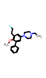 CCN1CCN(c2cc(CCF)c(OC)c(-c3ccccc3)c2)CC1